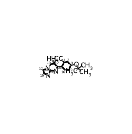 Cc1cc(OC(C)(C)C)ccc1-c1nc2nccn2cc1C